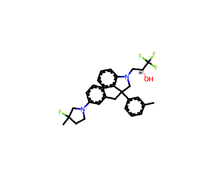 Cc1cccc(C2(Cc3cccc(N4CCC(C)(F)C4)c3)CN(C[C@@H](O)C(F)(F)F)c3ccccc32)c1